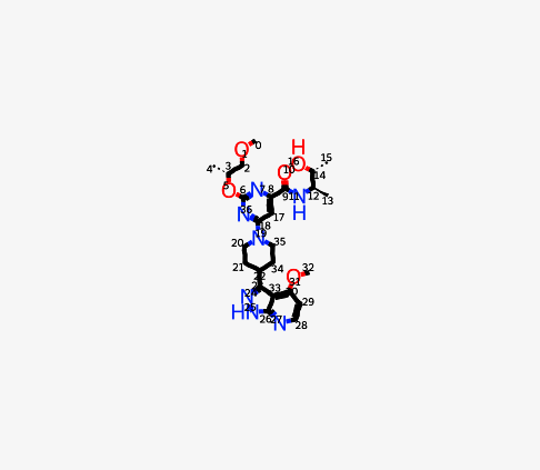 COC[C@@H](C)Oc1nc(C(=O)N[C@H](C)[C@@H](C)O)cc(N2CCC(c3n[nH]c4nccc(OC)c34)CC2)n1